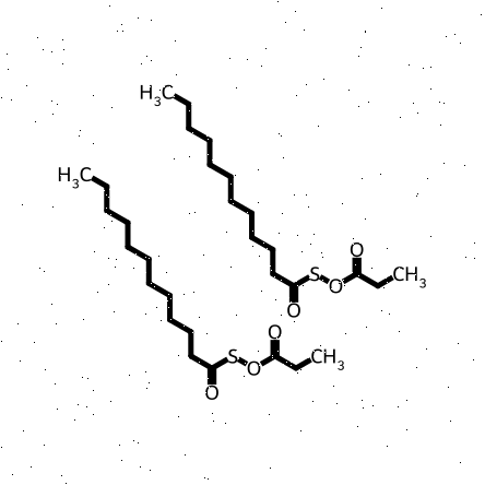 CCCCCCCCCCCC(=O)SOC(=O)CC.CCCCCCCCCCCC(=O)SOC(=O)CC